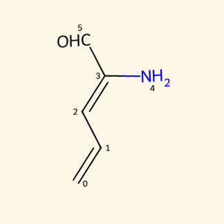 C=C/C=C(\N)C=O